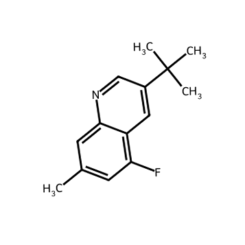 Cc1cc(F)c2cc(C(C)(C)C)cnc2c1